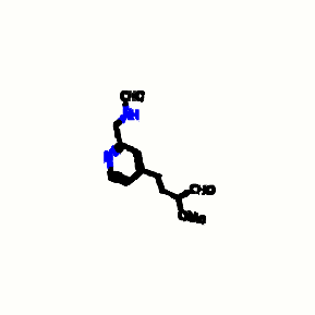 COC(C=O)CCc1ccnc(CNC=O)c1